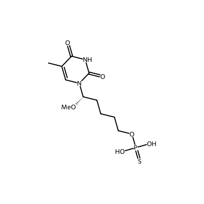 CO[C@@H](CCCCOP(O)(O)=S)n1cc(C)c(=O)[nH]c1=O